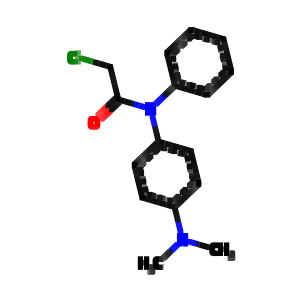 CN(C)c1ccc(N(C(=O)CCl)c2ccccc2)cc1